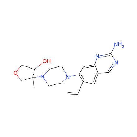 C=Cc1cc2cnc(N)nc2cc1N1CCN(C2(C)COCC2O)CC1